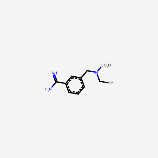 CC(C)CN(Cc1cccc(C(=N)N)c1)C(=O)O